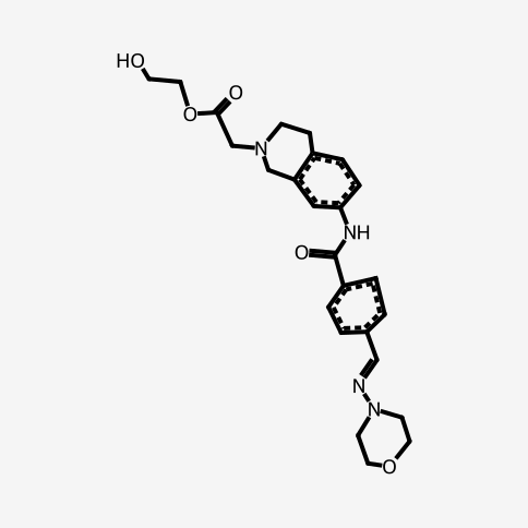 O=C(CN1CCc2ccc(NC(=O)c3ccc(/C=N/N4CCOCC4)cc3)cc2C1)OCCO